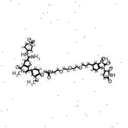 COc1cc(-c2cn(C)c(=O)c3cc(C(N)NC4CCS(=O)(=O)CC4)sc23)ccc1OCC(=O)NCCOCCOCCOCCCc1ccc2c(c1)n(C)c(=O)n2C1CCC(=O)NC1=O